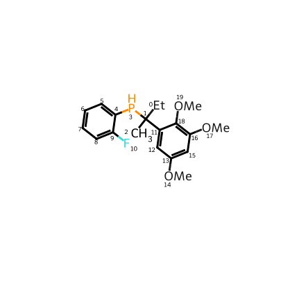 CCC(C)(Pc1ccccc1F)c1cc(OC)cc(OC)c1OC